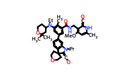 CCN(c1cc(-c2ccc3c(c2)N(C(C)C)C(=C=O)C32CCOCC2)cc(C(=O)NCC2=C(OC)C=C(C)NC2=C=O)c1C)C1CCOC(C)(C)C1